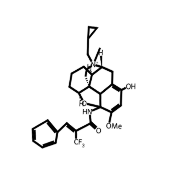 COC1=CC(O)=C2C[C@@H]3[C@@H]4CCC[C@@H]5OC1(NC(=O)C(=Cc1ccccc1)C(F)(F)F)C2[C@@]54CC[N+]3(C)CC1CC1